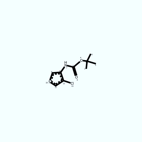 CC(C)(C)OC(=O)Nc1cscc1Cl